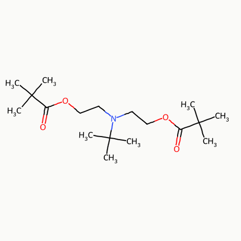 CC(C)(C)C(=O)OCCN(CCOC(=O)C(C)(C)C)C(C)(C)C